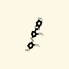 Cc1ccc2nc(-c3ccc(/N=N/c4ccc(O)cc4C)cc3C)sc2c1